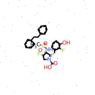 CS(=O)(=O)N[C@H]1[C@@H](F)CN(C(=O)O)[C@H]1Cc1cccc(O)c1F.c1ccc(CCc2ccccc2)cc1